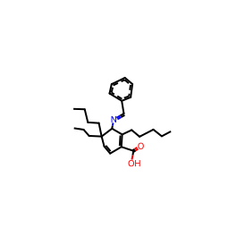 CCCCCC1=C(C(=O)O)C=CC(CCC)(CCCC)C1N=Cc1ccccc1